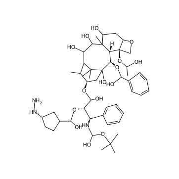 CC(O)O[C@]12COC1CC(O)C1(C)C(O)C(O)C3C(C)[C@H](OC(O)[C@@H](OC(O)C4CCC(NN)C4)[C@H](NC(O)OC(C)(C)C)c4ccccc4)CC(O)([C@H](OC(O)c4ccccc4)[C@H]12)C3(C)C